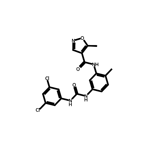 Cc1ccc(NC(=O)Nc2cc(Cl)cc(Cl)c2)cc1NC(=O)c1cnoc1C